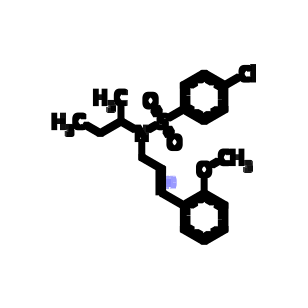 CCC(C)N(C/C=C/c1ccccc1OC)S(=O)(=O)c1ccc(Cl)cc1